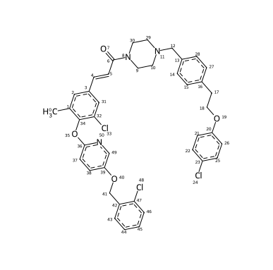 Cc1cc(/C=C/C(=O)N2CCN(Cc3ccc(CCOc4ccc(Cl)cc4)cc3)CC2)cc(Cl)c1Oc1ccc(OCc2ccccc2Cl)cn1